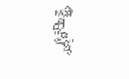 O=C(Nc1c(F)cccc1C(F)(F)F)c1cc2c(o1)-c1ccccc1N(C(=O)c1ccc(CCC(=O)c3cc4c(nc3N3CC5(CCOCC5)C3)CCC4)cc1)CC2